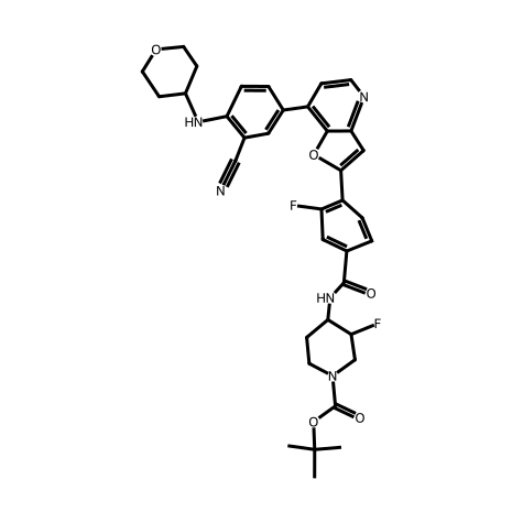 CC(C)(C)OC(=O)N1CCC(NC(=O)c2ccc(-c3cc4nccc(-c5ccc(NC6CCOCC6)c(C#N)c5)c4o3)c(F)c2)C(F)C1